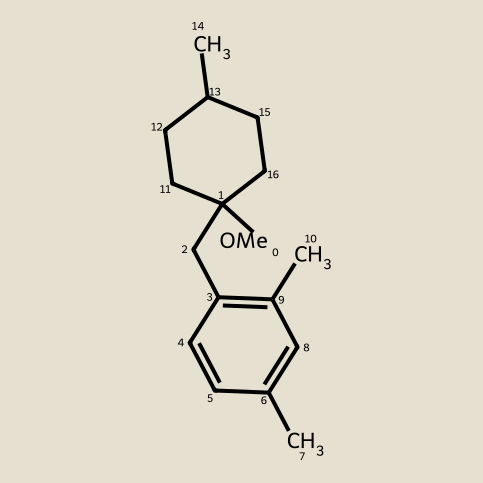 COC1(Cc2ccc(C)cc2C)CCC(C)CC1